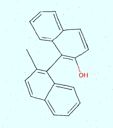 Cc1ccc2ccccc2c1-c1c(O)ccc2ccccc12